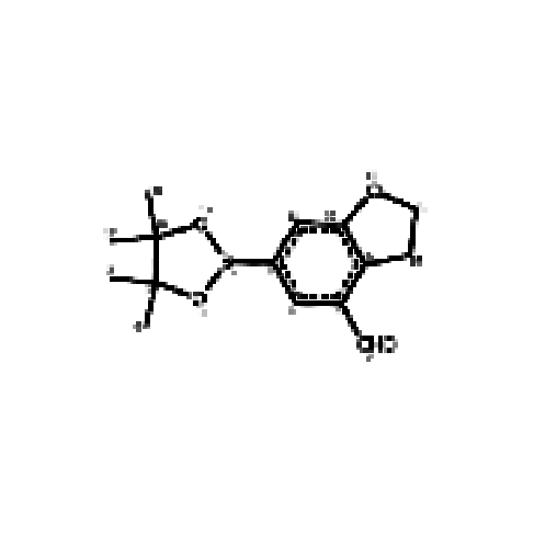 CC1(C)OB(c2cc(C=O)c3c(c2)OCC3)OC1(C)C